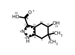 CC1(C)Cc2[nH]nc(C(=O)O)c2CC1O